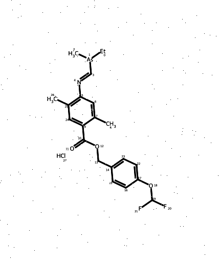 CC[As](C)C=Nc1cc(C)c(C(=O)OCc2ccc(OC(F)F)cc2)cc1C.Cl